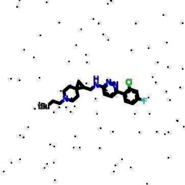 CC(C)(C)CCN1CCC2(CC1)CC2CNc1ccc(-c2ccc(F)cc2Cl)nn1